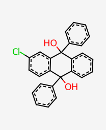 OC1(c2ccccc2)c2ccccc2C(O)(c2ccccc2)c2cc(Cl)ccc21